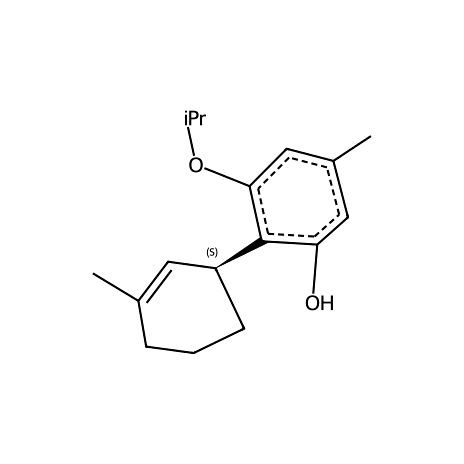 CC1=C[C@@H](c2c(O)cc(C)cc2OC(C)C)CCC1